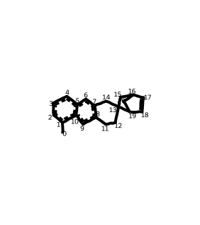 Cc1cccc2cc3c(cc12)CCC1(C3)CC2C=CC1C2